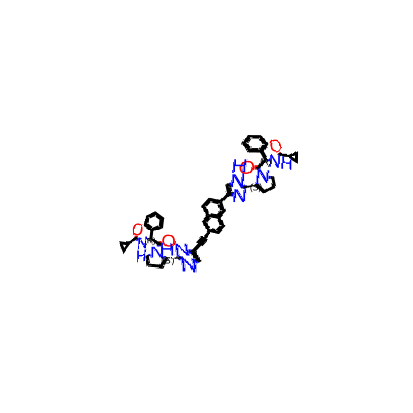 O=C(N[C@@H](C(=O)N1CCC[C@H]1c1nc(-c2ccc3cc(C#Cc4cnc([C@@H]5CCCN5C(=O)[C@H](NC(=O)C5CC5)c5ccccc5)[nH]4)ccc3c2)c[nH]1)c1ccccc1)C1CC1